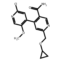 COc1cnc(Cl)cc1-c1cc(COC2CC2)ncc1C(N)=O